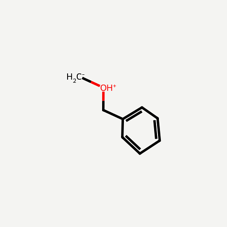 [CH2-][OH+]Cc1ccccc1